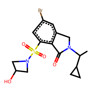 CC(C1CC1)N1Cc2cc(Br)cc(S(=O)(=O)N3CC(O)C3)c2C1=O